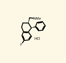 CNC[C@@H]1CCc2cc(F)ccc2[C@@H]1c1ccccc1.Cl